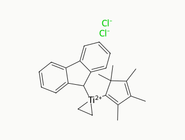 CC1=C(C)C(C)(C)[C]([Ti+2]2([CH]3c4ccccc4-c4ccccc43)[CH2][CH2]2)=C1C.[Cl-].[Cl-]